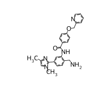 Cc1cn(C)c(-c2ccc(CN)c(NC(=O)c3ccc(OCc4ccccn4)cc3)c2)n1